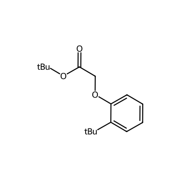 CC(C)(C)OC(=O)COc1ccccc1C(C)(C)C